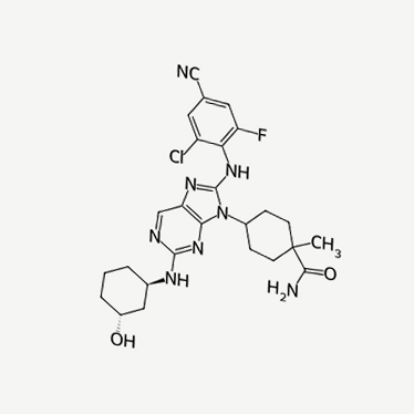 CC1(C(N)=O)CCC(n2c(Nc3c(F)cc(C#N)cc3Cl)nc3cnc(N[C@@H]4CCC[C@@H](O)C4)nc32)CC1